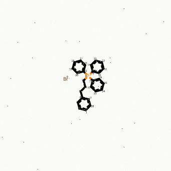 [Br-].c1ccc(CCC[P+](c2ccccc2)(c2ccccc2)c2ccccc2)cc1